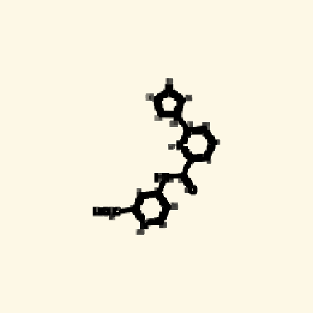 CCOC(=O)c1cc(NC(=O)c2cccc(-n3ccnc3)n2)ccn1